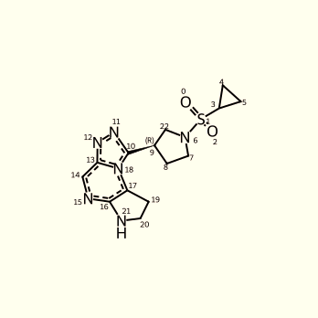 O=S(=O)(C1CC1)N1CC[C@@H](c2nnc3cnc4c(n23)CCN4)C1